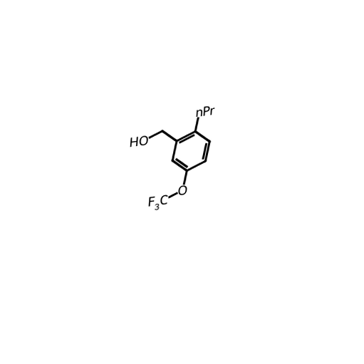 CCCc1ccc(OC(F)(F)F)cc1CO